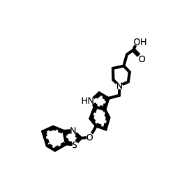 O=C(O)CC1CCN(Cc2c[nH]c3cc(Oc4nc5ccccc5s4)ccc23)CC1